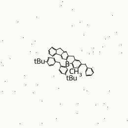 Cc1cc(Cc2ccccc2)cc2c1B(c1cc(C(C)(C)C)ccc1Cc1ccc(C(C)(C)C)cc1)c1cc3c(cc1C2)Cc1ccccc1-3